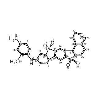 Cc1ccc(Nc2ccc3c(c2)S(=O)(=O)c2cc4c(cc2-3)S(=O)(=O)c2ccc3ccccc3c2-4)c(C)c1